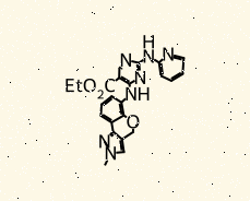 CCOC(=O)c1cnc(Nc2ccccn2)nc1Nc1cccc2c1OCc1cn(C)nc1-2